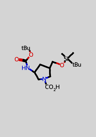 CC(C)(C)OC(=O)NC1CC(CO[Si](C)(C)C(C)(C)C)CN(C(=O)O)C1